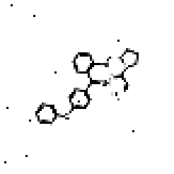 C=CC(=O)N1CCC[C@H]1CNc1ccncc1C(=N)c1ccc(Oc2ccccc2)cc1